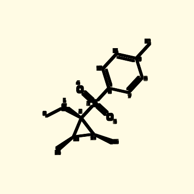 CS[C@]1(S(=O)(=O)c2ccc(C)cc2)[C@H](C)[C@@H]1C